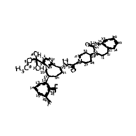 COC(C)(C)c1cnc2n1C[C@H](c1cccc(F)c1F)CC[C@H]2NC(=O)N1CCC(N2CCc3ccccc3NC2=O)CC1